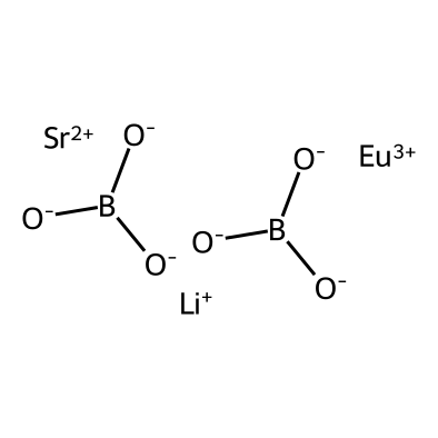 [Eu+3].[Li+].[O-]B([O-])[O-].[O-]B([O-])[O-].[Sr+2]